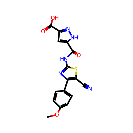 COc1ccc(-c2nc(NC(=O)c3cc(C(=O)O)n[nH]3)sc2C#N)cc1